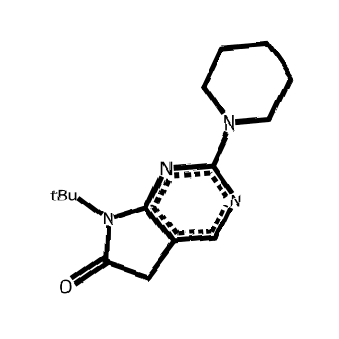 CC(C)(C)N1C(=O)Cc2cnc(N3CCCCC3)nc21